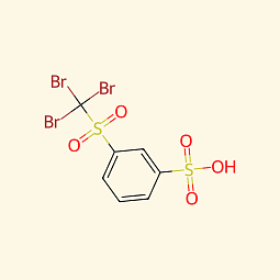 O=S(=O)(O)c1cccc(S(=O)(=O)C(Br)(Br)Br)c1